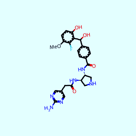 COc1ccc(O)c(C(O)c2ccc(C(=O)N[C@@H]3CNC[C@H]3NC(=O)Cc3cnc(N)nc3)cc2)c1F